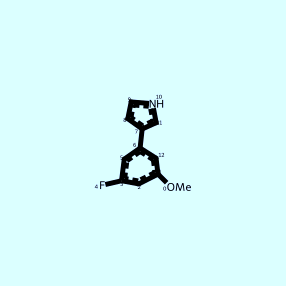 COc1cc(F)cc(-c2cc[nH]c2)c1